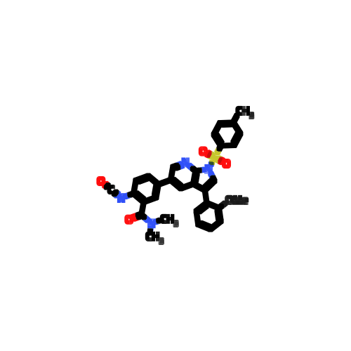 COc1ccccc1-c1cn(S(=O)(=O)c2ccc(C)cc2)c2ncc(-c3ccc(N=C=O)c(C(=O)N(C)C)c3)cc12